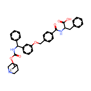 O=C(NC(c1ccccc1)c1cccc(OCc2ccc(C(=O)NC(Cc3ccccc3)C(=O)O)cc2)c1)OC1CN2CCC1CC2